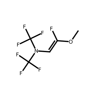 CO/C(F)=C/N(C(F)(F)F)C(F)(F)F